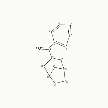 O=C(c1ccccc1)C1CC2CCC(C2)C1